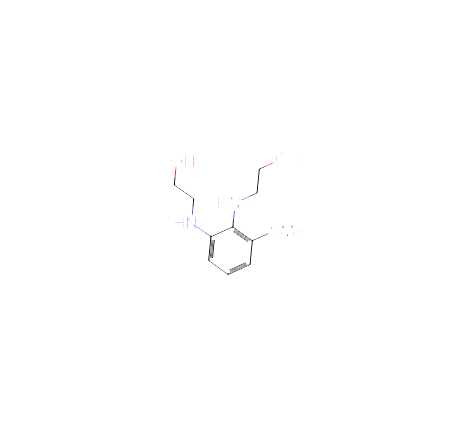 CSc1cccc(NCCO)c1NCCO